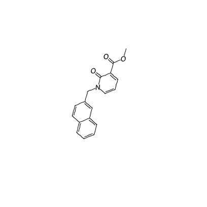 COC(=O)c1cccn(Cc2ccc3ccccc3c2)c1=O